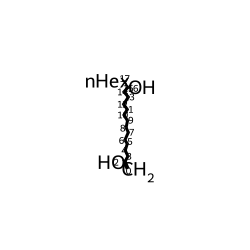 C=C(O)CCCCCCCCCCCC[C@H](O)CCCCCC